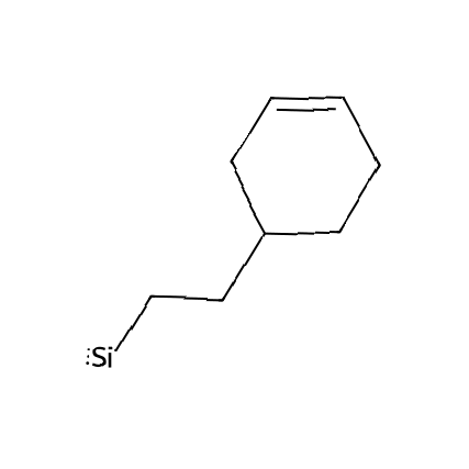 [Si]CCC1CC=CCC1